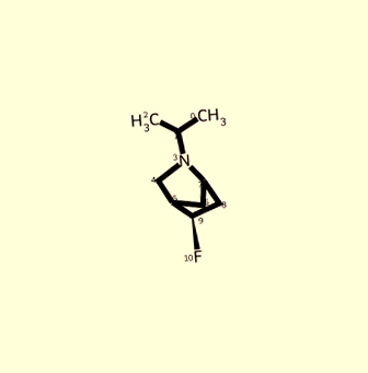 CC(C)N1CC2CC1C[C@H]2F